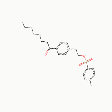 CCCCCCCC(=O)c1ccc(CCOS(=O)(=O)c2ccc(C)cc2)cc1